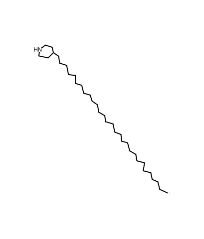 [CH2]CCCCCCCCCCCCCCCCCCCCCCCCCCCCC1CCNCC1